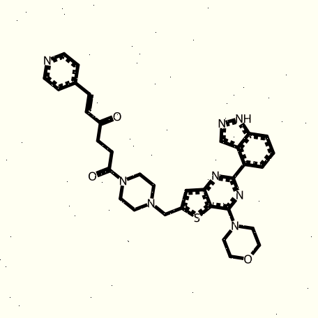 O=C(/C=C/c1ccncc1)CCC(=O)N1CCN(Cc2cc3nc(-c4cccc5[nH]ncc45)nc(N4CCOCC4)c3s2)CC1